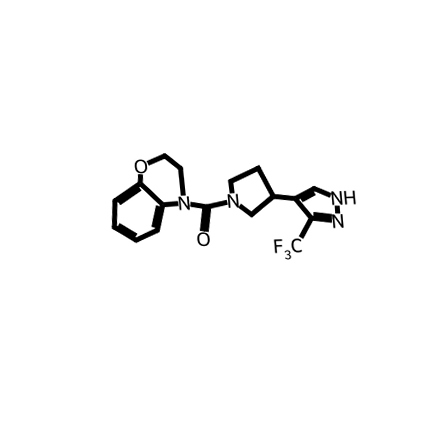 O=C(N1CCC(c2c[nH]nc2C(F)(F)F)C1)N1CCOc2ccccc21